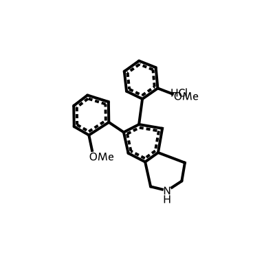 COc1ccccc1-c1cc2c(cc1-c1ccccc1OC)CNCC2.Cl